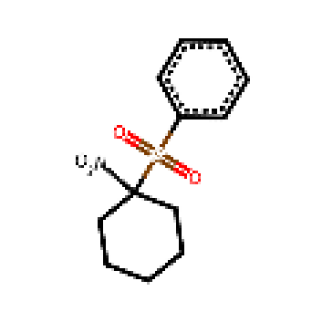 O=[N+]([O-])C1(S(=O)(=O)c2ccccc2)CCCCC1